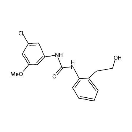 COc1cc(Cl)cc(NC(=O)Nc2ccccc2CCO)c1